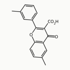 Cc1cccc(-c2oc3ccc(C)cc3c(=O)c2C(=O)O)c1